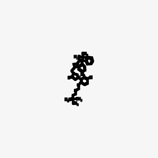 CC(C)(C)[Si](OC1CC(CN2C[C@@H](c3c(OCOCC[Si](C)(C)C)ccc(Cl)c3Cl)CC2=S)C1)(c1ccccc1)c1ccccc1